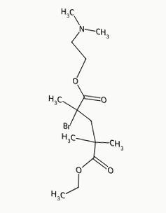 CCOC(=O)C(C)(C)CC(C)(Br)C(=O)OCCN(C)C